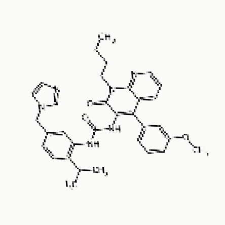 CCCCn1c(=O)c(NC(=O)Nc2cc(Cn3ccnc3)ccc2C(C)C)c(-c2cccc(OC)c2)c2cccnc21